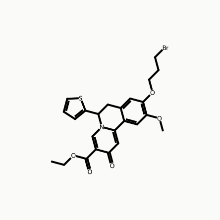 CCOC(=O)c1cn2c(cc1=O)-c1cc(OC)c(OCCCBr)cc1CC2c1cccs1